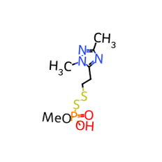 COP(=O)(O)SSCCc1nc(C)nn1C